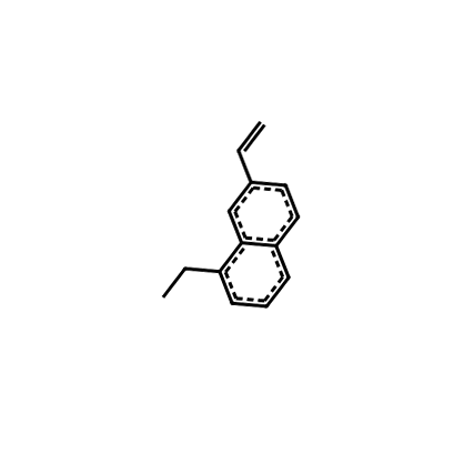 C=Cc1ccc2cccc(CC)c2c1